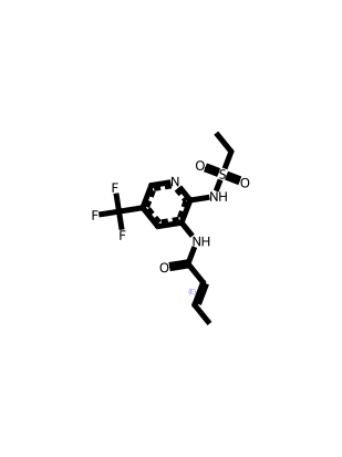 C/C=C/C(=O)Nc1cc(C(F)(F)F)cnc1NS(=O)(=O)CC